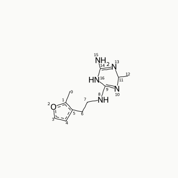 Cc1occc1CCNC1=NC(C)N=C(N)N1